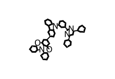 c1ccc(-c2cc(-c3ccccc3)nc(-c3cccc(-n4c5ccccc5c5cc(-c6cc7c8c(c6)Oc6ccccc6N8c6ccccc6O7)ccc54)c3)n2)cc1